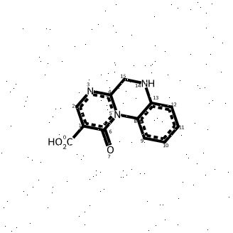 O=C(O)c1cnc2n(c1=O)-c1ccccc1NC2